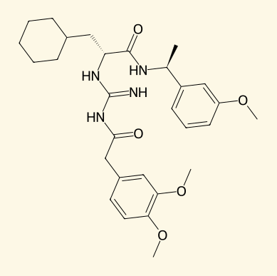 COc1cccc([C@H](C)NC(=O)[C@@H](CC2CCCCC2)NC(=N)NC(=O)Cc2ccc(OC)c(OC)c2)c1